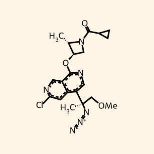 COC[C@@](C)(N=[N+]=[N-])c1cnc(O[C@@H]2CN(C(=O)C3CC3)[C@H]2C)c2cnc(Cl)cc12